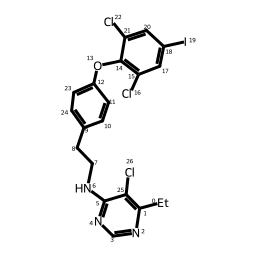 CCc1ncnc(NCCc2ccc(Oc3c(Cl)cc(I)cc3Cl)cc2)c1Cl